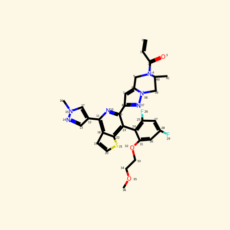 C=CC(=O)N1Cc2cc(-c3nc(-c4cnn(C)c4)c4ccsc4c3-c3c(F)cc(F)cc3OCCOC)nn2CC1C